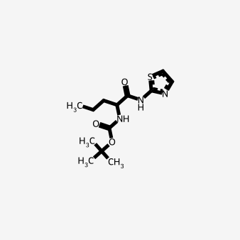 CCCC(NC(=O)OC(C)(C)C)C(=O)Nc1nccs1